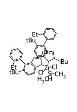 CCc1ccccc1-c1c(C(C)(C)C)ccc2c1C=C(C(C)CC)[CH]2[Zr]([Cl])([Cl])([CH]1C(C(C)CC)=Cc2c1ccc(C(C)(C)C)c2-c1ccccc1CC)[SiH](C)C